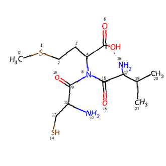 CSCCC(C(=O)O)N(C(=O)C(N)CS)C(=O)C(N)C(C)C